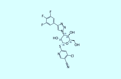 N#Cc1cnc(S[C@H]2O[C@H](CO)[C@H](O)[C@H](n3cc(-c4cc(F)c(F)c(F)c4)nn3)[C@H]2O)cc1Cl